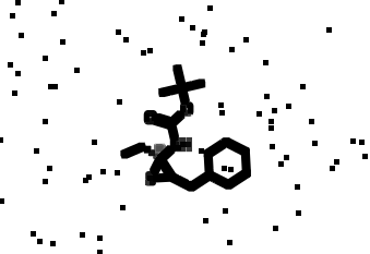 CC[C@@]1(NC(=O)OC(C)(C)C)SC1CC1CCCCC1